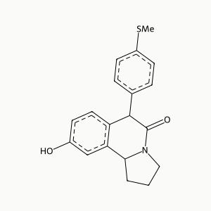 CSc1ccc(C2C(=O)N3CCCC3c3cc(O)ccc32)cc1